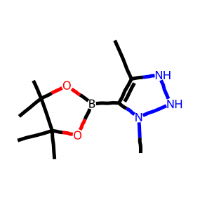 CC1=C(B2OC(C)(C)C(C)(C)O2)N(C)NN1